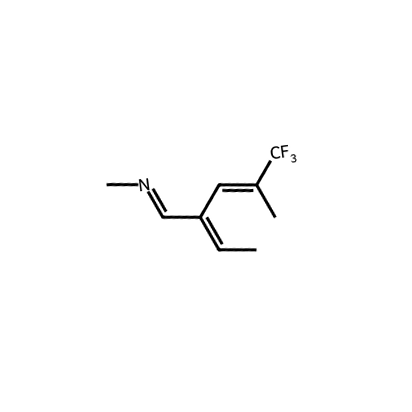 C/C=C(/C=N/C)\C=C(/C)C(F)(F)F